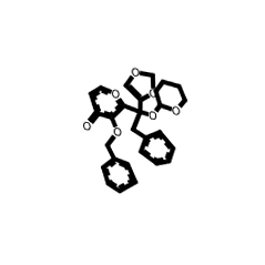 O=c1ccoc(C(Cc2ccccc2)(OC2CCCCO2)C2=COCO2)c1OCc1ccccc1